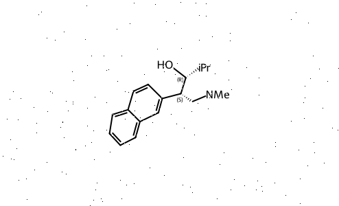 CNC[C@H](c1ccc2ccccc2c1)[C@H](O)C(C)C